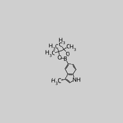 Cc1c[nH]c2ccc(B3OC(C)(C)C(C)(C)O3)cc12